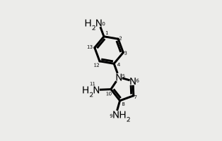 Nc1ccc(-n2ncc(N)c2N)cc1